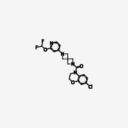 O=C(N1CC2(C1)CN(c1ccnc(OC(F)F)c1)C2)N1CCOc2cc(Cl)ccc21